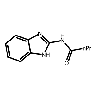 CCCC(=O)Nc1nc2ccccc2[nH]1